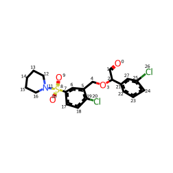 O=CC(OCc1cc(S(=O)(=O)N2CCCCC2)ccc1Cl)c1cccc(Cl)c1